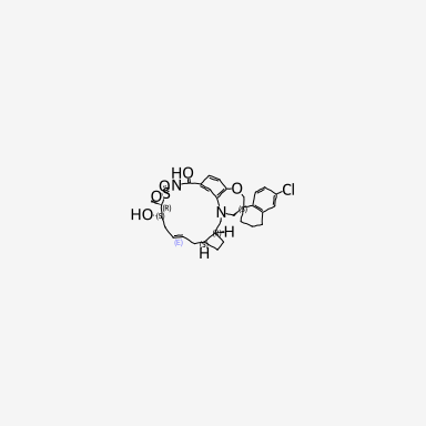 C[C@@H]1[C@@H](O)C/C=C/C[C@@H]2CC[C@H]2CN2C[C@@]3(CCCc4cc(Cl)ccc43)COc3ccc(cc32)C(=O)NS1(=O)=O